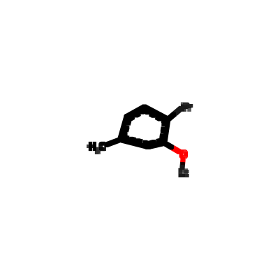 [CH2]c1ccc(C(C)C)c(OCC)c1